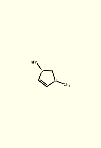 CCCN1C=CN(C(F)(F)F)C1